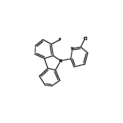 Fc1cccc2c3ccccc3n(-c3cccc(Cl)n3)c12